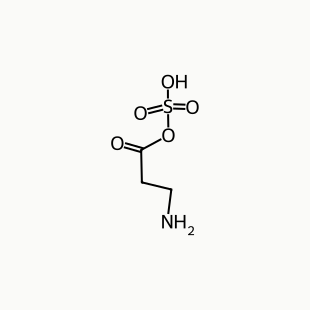 NCCC(=O)OS(=O)(=O)O